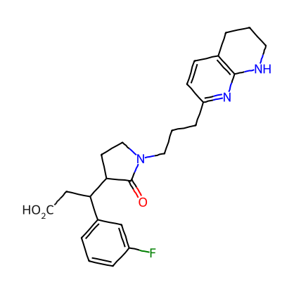 O=C(O)CC(c1cccc(F)c1)C1CCN(CCCc2ccc3c(n2)NCCC3)C1=O